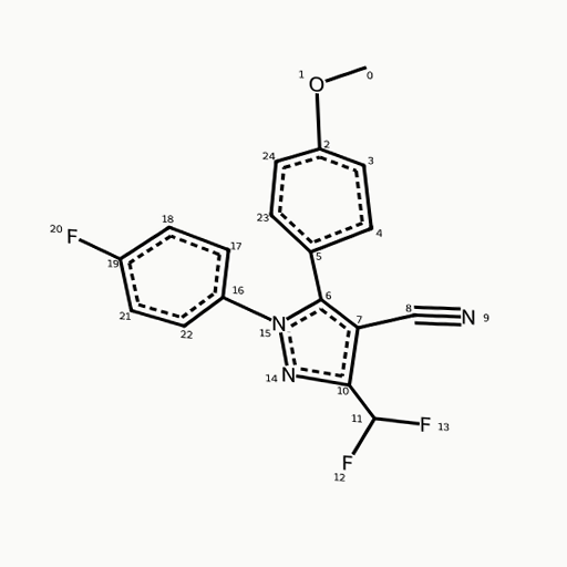 COc1ccc(-c2c(C#N)c(C(F)F)nn2-c2ccc(F)cc2)cc1